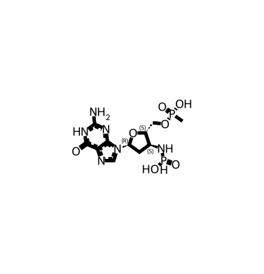 CP(=O)(O)OC[C@H]1O[C@@H](n2cnc3c(=O)[nH]c(N)nc32)C[C@@H]1N[PH](=O)O